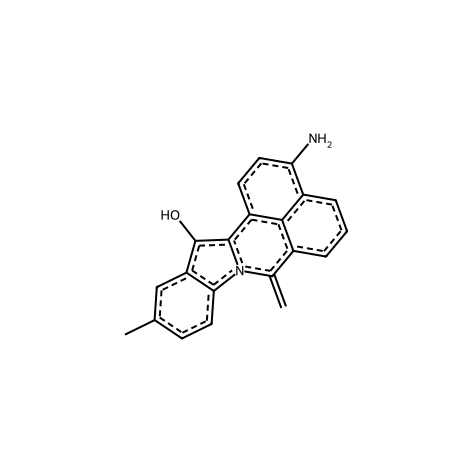 C=c1c2cccc3c(N)ccc(c32)c2c(O)c3cc(C)ccc3n12